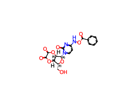 O=C1O[C@@H]2[C@H](OC1=O)[C@@H](CO)O[C@H]2n1ccc(NOC(=O)c2ccccc2)nc1=O